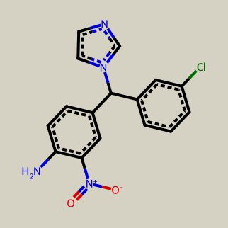 Nc1ccc(C(c2cccc(Cl)c2)n2ccnc2)cc1[N+](=O)[O-]